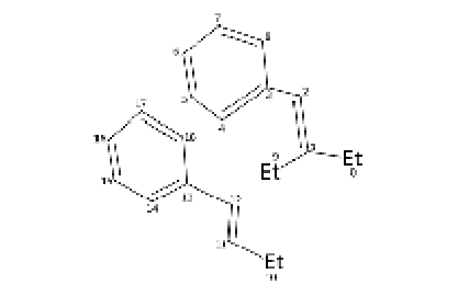 CCC(=Cc1ccccc1)CC.CCC=Cc1ccccc1